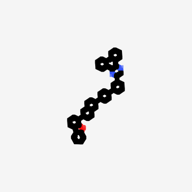 c1cc(-c2ccc(-c3ccc4cc(-c5cccc6c5oc5ccccc56)ccc4c3)cc2)cc(-c2cnc3c4ccccc4c4ccccc4c3n2)c1